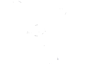 CCCCCCCC/C=C\CCCCCCCC(=O)OC(C(=O)CCCCCCC/C=C\CCCCCCCC)(C(=O)OCC(O)CO)C(CCCCCCCCC)C(=O)CCCCCCC/C=C\CCCCCCCC